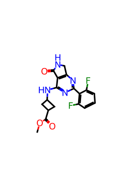 COC(=O)C1CC(Nc2nc(-c3c(F)cccc3F)nc3c2C(=O)NC3)C1